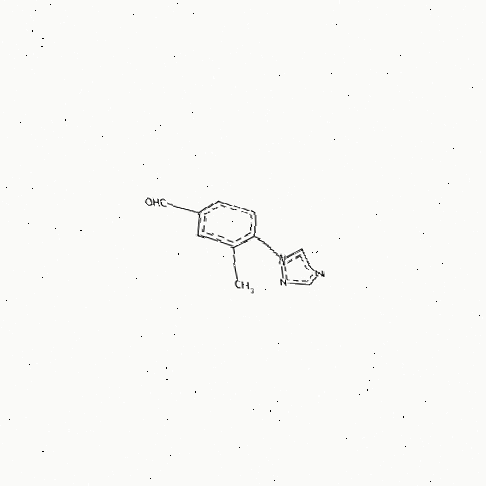 Cc1cc(C=O)ccc1-n1cncn1